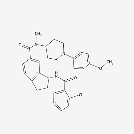 COc1ccc(N2CCC(N(C)C(=O)c3ccc4c(c3)[C@H](NC(=O)c3ccccc3Cl)CC4)CC2)cc1